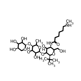 CNCCCCCC(=O)N[C@H]1C(CO)O[C@@H](C(C)(C)C)C(O[C@@H]2OC(C)[C@H](O[C@@H]3OC[C@@H](O)C(O)C3O)C(O)C2O)C1O